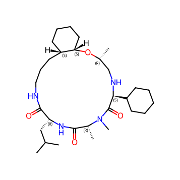 CC(C)C[C@H]1NC(=O)[C@@H](C)N(C)C(=O)[C@H](C2CCCCC2)NC[C@@H](C)O[C@H]2CCCC[C@H]2CCCNC1=O